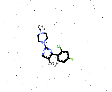 CN1CCN(c2ncc(C(=O)O)c(-c3ccc(F)cc3Cl)n2)CC1